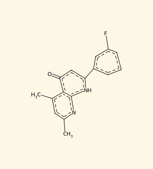 Cc1cc(C)c2c(=O)cc(-c3cccc(F)c3)[nH]c2n1